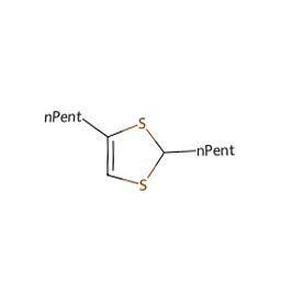 CCCCCC1=CSC(CCCCC)S1